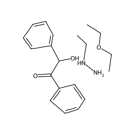 CCNN.CCOCC.O=C(c1ccccc1)C(O)c1ccccc1